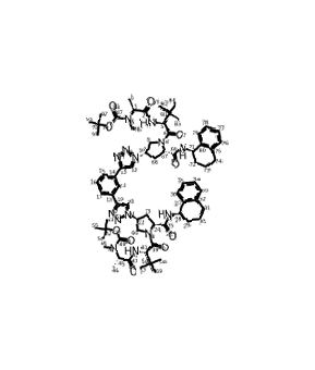 C[C@@H](C(=O)N[C@H](C(=O)N1C[C@@H](n2cc(-c3cccc(-c4cn([C@H]5C[C@@H](C(=O)N[C@@H]6CCCc7ccccc76)N(C(=O)[C@@H](NC(=O)[C@H](C)N(C)C(=O)OC(C)(C)C)C(C)(C)C)C5)nn4)c3)nn2)C[C@H]1C(=O)N[C@@H]1CCCc2ccccc21)C(C)(C)C)N(C)C(=O)OC(C)(C)C